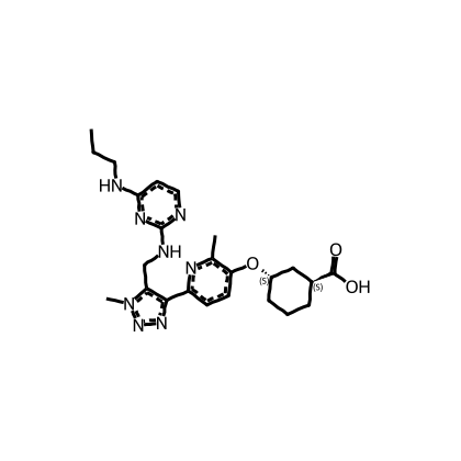 CCCNc1ccnc(NCc2c(-c3ccc(O[C@H]4CCC[C@H](C(=O)O)C4)c(C)n3)nnn2C)n1